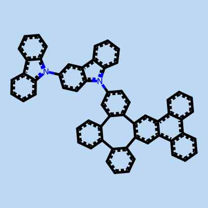 c1ccc2c(c1)-c1ccccc1-c1cc3c4ccccc4c4ccccc4c3cc1-c1ccc(-n3c4ccccc4c4cc(-n5c6ccccc6c6ccccc65)ccc43)cc1-2